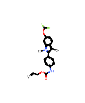 C=CCOC(=O)Nc1ccc(-c2c(C#N)c3ccc(OC(F)F)cc3n2CC)cc1